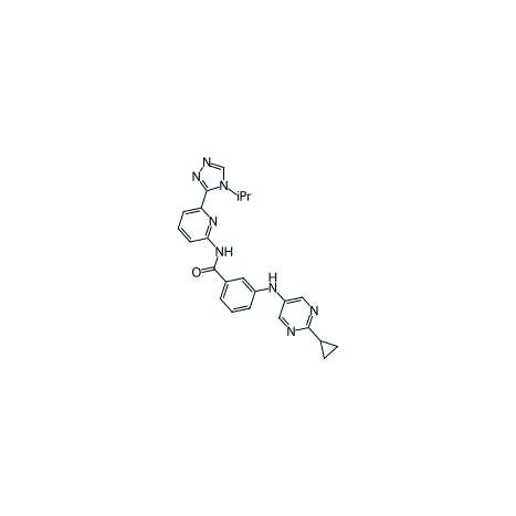 CC(C)n1cnnc1-c1cccc(NC(=O)c2cccc(Nc3cnc(C4CC4)nc3)c2)n1